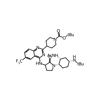 CC(=O)N[C@@H]1C[C@H](NC(C)(C)C)CC[C@@H]1N1CCC(Nc2nc(C3CCN(C(=O)OC(C)(C)C)CC3)nc3ccc(C(F)(F)F)cc23)C1=O